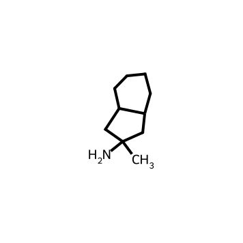 CC1(N)CC2CCCCC2C1